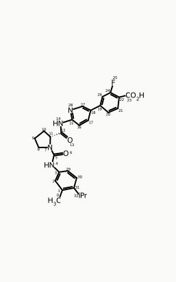 Cc1cc(NC(=O)N2CCC[C@@H]2C(=O)Nc2ccc(-c3ccc(C(=O)O)c(F)c3)cn2)ccc1C(C)C